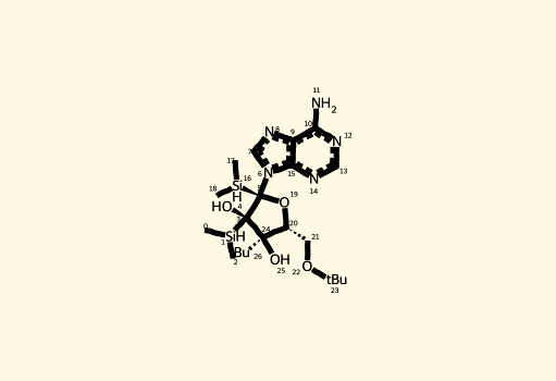 C[SiH](C)[C@]1(O)[C@@](n2cnc3c(N)ncnc32)([SiH](C)C)O[C@H](COC(C)(C)C)[C@]1(O)C(C)(C)C